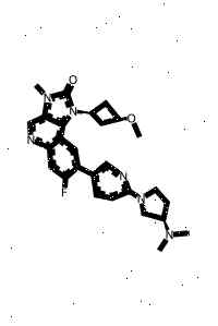 CO[C@H]1C[C@@H](n2c(=O)n(C)c3cnc4cc(F)c(-c5ccc(N6CC[C@@H](N(C)C)C6)nc5)cc4c32)C1